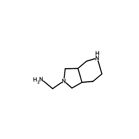 NCN1CC2CCNCC2C1